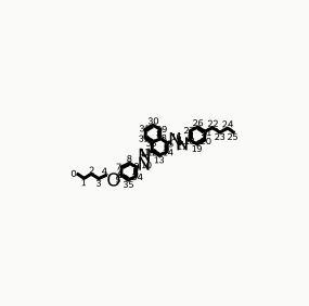 CCCCCOc1ccc(N=Nc2ccc(N=Nc3ccc(CCCC)cc3)c3ccccc23)cc1